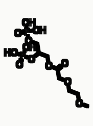 COCCOCC(=O)OCC(COP(=O)(O)O)OP(=O)(O)O